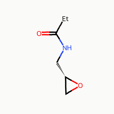 CCC(=O)NC[C@H]1CO1